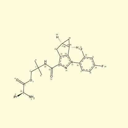 CC(C)[C@H](N)C(=O)OCC(C)(C)NC(=O)c1nn(-c2ccc(F)cc2F)c2c1C[C@H]1C[C@@H]21